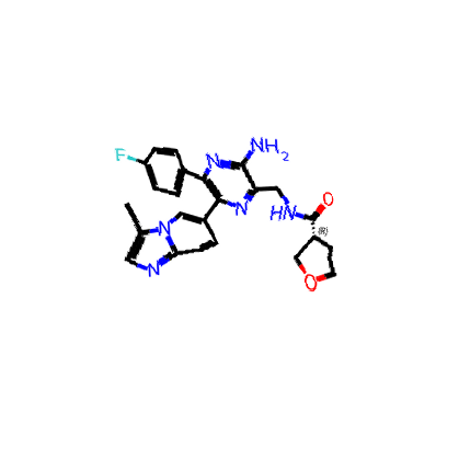 Cc1cnc2ccc(-c3nc(CNC(=O)[C@@H]4CCOC4)c(N)nc3-c3ccc(F)cc3)cn12